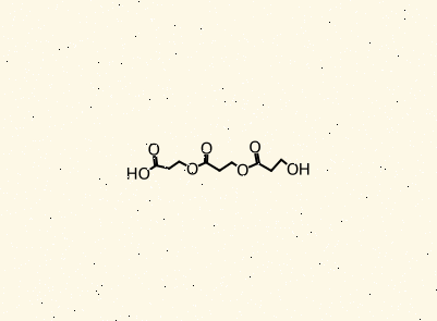 O=C(O)CCOC(=O)CCOC(=O)CCO